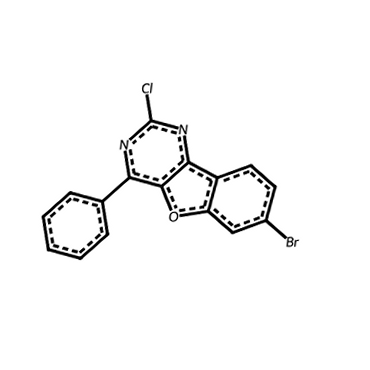 Clc1nc(-c2ccccc2)c2oc3cc(Br)ccc3c2n1